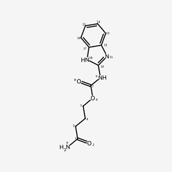 NC(=O)CCCOC(=O)Nc1nc2ccccc2[nH]1